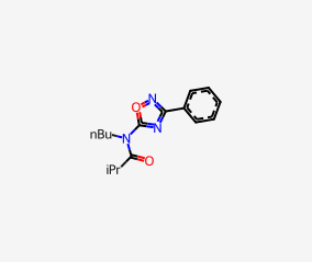 CCCCN(C(=O)C(C)C)c1nc(-c2ccccc2)no1